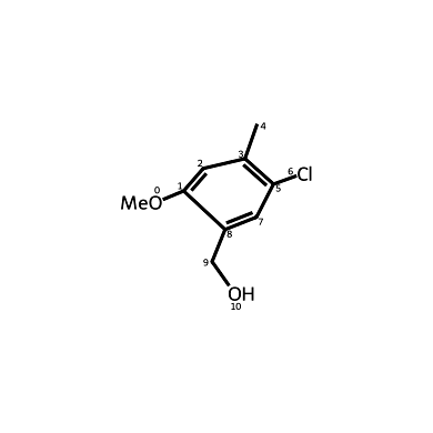 COc1cc(C)c(Cl)cc1CO